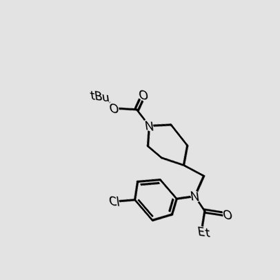 CCC(=O)N(CC1CCN(C(=O)OC(C)(C)C)CC1)c1ccc(Cl)cc1